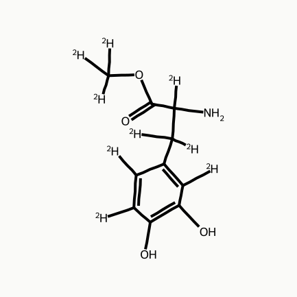 [2H]c1c([2H])c(C([2H])([2H])C([2H])(N)C(=O)OC([2H])([2H])[2H])c([2H])c(O)c1O